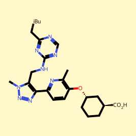 CCC(C)Cc1ncnc(NCc2c(-c3ccc(O[C@H]4CCC[C@H](C(=O)O)C4)c(C)n3)nnn2C)n1